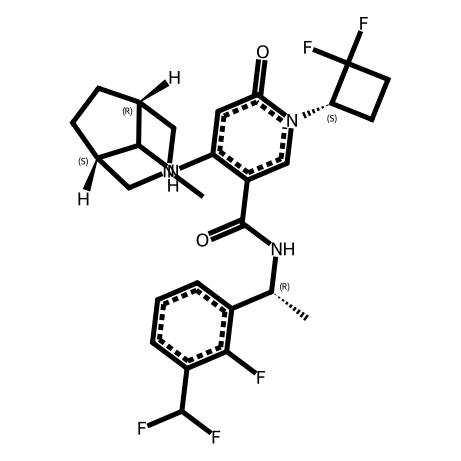 C[C@@H](NC(=O)c1cn([C@H]2CCC2(F)F)c(=O)cc1NC1[C@@H]2CC[C@H]1CN(C)C2)c1cccc(C(F)F)c1F